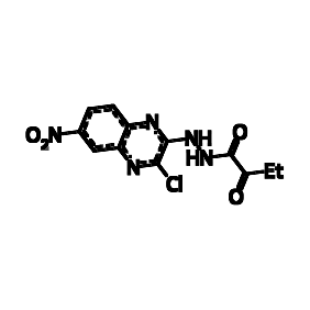 CCC(=O)C(=O)NNc1nc2ccc([N+](=O)[O-])cc2nc1Cl